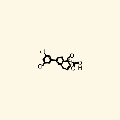 O=C[C@]1(NC(=O)O)C=CCc2cc(-c3cc(Cl)cc(Cl)c3)ccc21